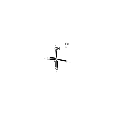 O=S(=O)(O)F.[Fe]